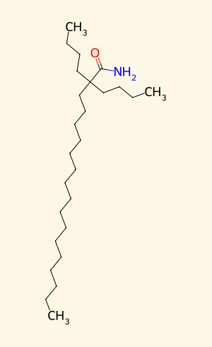 CCCCCCCCCCCCCCCCC(CCCC)(CCCC)C(N)=O